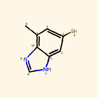 Cc1cc(S)cc2[nH]cnc12